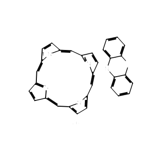 C1=Cc2cc3ccc(cc4nc(cc5ccc(cc1n2)[nH]5)C=C4)[nH]3.[Zn].c1ccc2c(c1)Nc1ccccc1O2